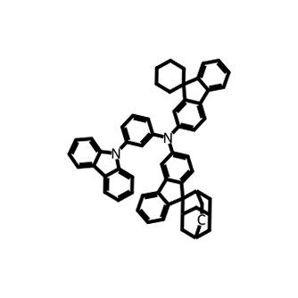 c1cc(N(c2ccc3c(c2)-c2ccccc2C32C3CCC4CC(C3)CC2C4)c2ccc3c(c2)C2(CCCCC2)c2ccccc2-3)cc(-n2c3ccccc3c3ccccc32)c1